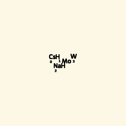 [CsH].[Mo].[NaH].[W]